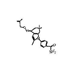 Cc1cc2c(n1-c1ccc(C(N)=O)cc1)CC(C)(C)C/C2=N\OCC(C)C